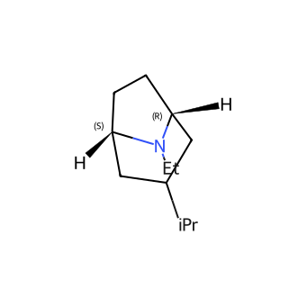 CCN1[C@@H]2CC[C@H]1CC(C(C)C)C2